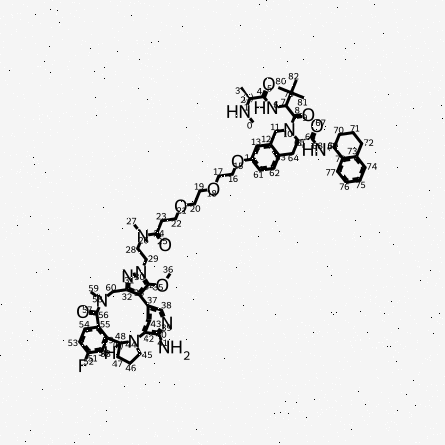 CN[C@@H](C)C(=O)NC(C(=O)N1Cc2cc(OCCOCCOCCC(=O)N(C)CCn3nc4c(c3OC)-c3cnc(N)c(c3)N3CCC[C@@H]3c3cc(F)ccc3C(=O)N(C)C4)ccc2C[C@H]1C(=O)N[C@@H]1CCCc2ccccc21)C(C)(C)C